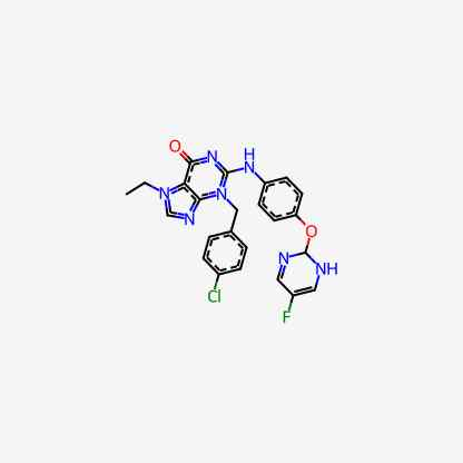 CCn1cnc2c1c(=O)nc(Nc1ccc(OC3N=CC(F)=CN3)cc1)n2Cc1ccc(Cl)cc1